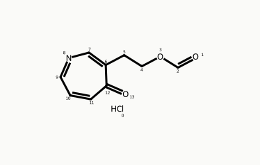 Cl.O=COCCc1cncccc1=O